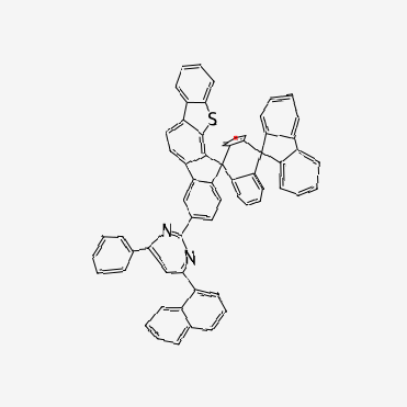 c1ccc(-c2cc(-c3cccc4ccccc34)nc(-c3ccc4c(c3)-c3ccc5c(sc6ccccc65)c3C43c4ccccc4C4(c5ccccc5-c5ccccc54)c4ccccc43)n2)cc1